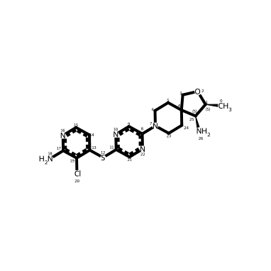 C[C@@H]1OCC2(CCN(c3cnc(Sc4ccnc(N)c4Cl)cn3)CC2)[C@@H]1N